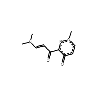 CN(C)C=CC(=O)c1nn(C)ccc1=O